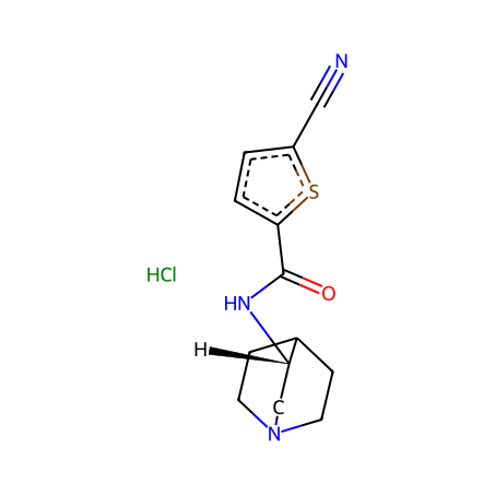 Cl.N#Cc1ccc(C(=O)N[C@H]2CN3CCC2CC3)s1